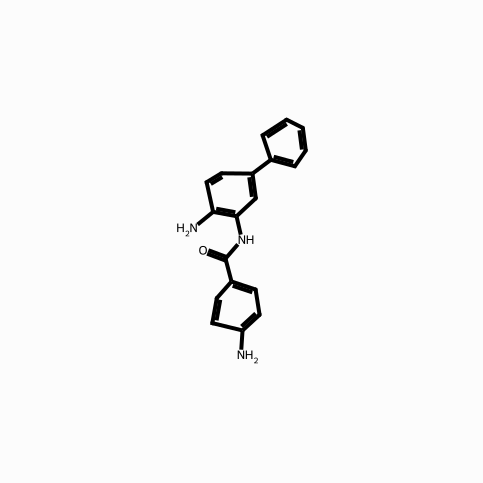 Nc1ccc(C(=O)Nc2cc(-c3ccccc3)ccc2N)cc1